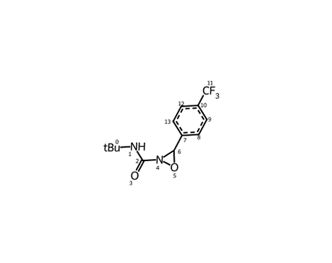 CC(C)(C)NC(=O)N1OC1c1ccc(C(F)(F)F)cc1